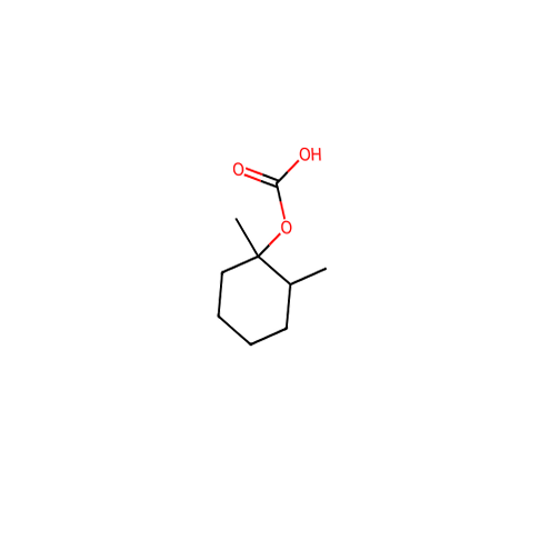 CC1CCCCC1(C)OC(=O)O